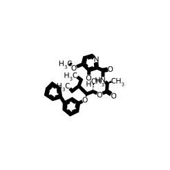 CCC(CC)[C@@H](Oc1cccc(-c2ccccc2)c1)[C@H](C)OC(=O)[C@H](C)NC(=O)c1nccc(OC)c1O